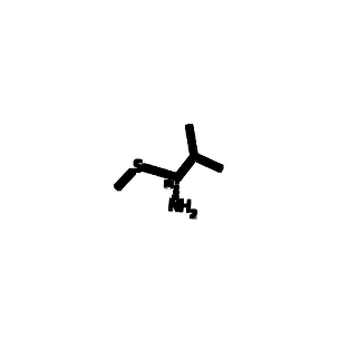 CS[C@@H](N)C(C)C